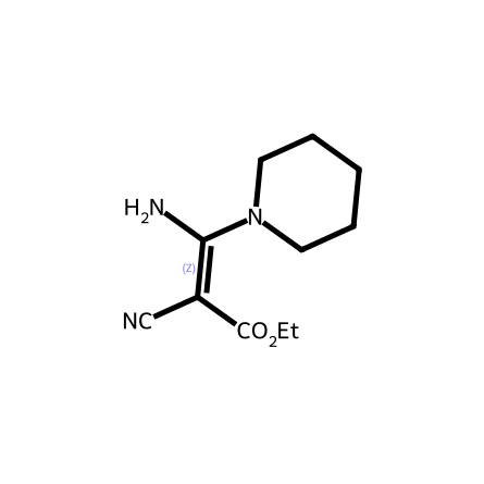 CCOC(=O)/C(C#N)=C(/N)N1CCCCC1